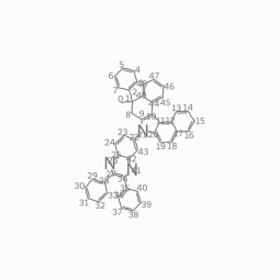 CC1(c2ccccc2)Cc2c(c3c4ccccc4ccc3n2-c2ccc3nc(-c4ccccc4)c(-c4ccccc4)nc3c2)-c2ccccc21